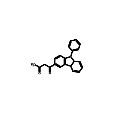 O=C(CC(=O)C(F)(F)F)c1ccc2c(c1)C1C=CC=CC1N2c1ccccc1